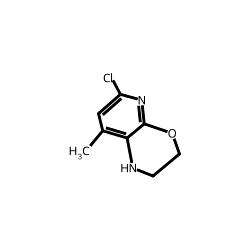 Cc1cc(Cl)nc2c1NCCO2